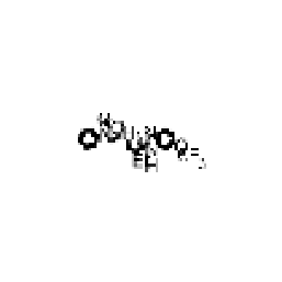 CC[C@H](CC[C@@H]1CN(c2ccccc2)C(=O)O1)C(=O)Nc1cc(OC(F)(F)F)ccc1N